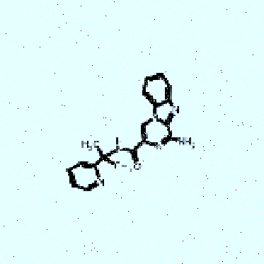 CC(C)(NC(=O)c1cn2c(nc3ccccc32)c(N)n1)c1ccccn1